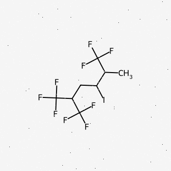 CC(C(I)CC(C(F)(F)F)C(F)(F)F)C(F)(F)F